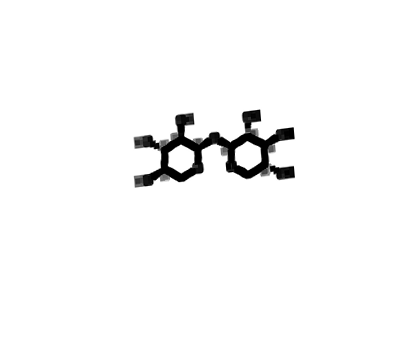 O[C@@H]1[C@@H](O)[C@@H](O[C@@H]2OC[C@@H](O)[C@H](O)[C@H]2O)OC[C@H]1O